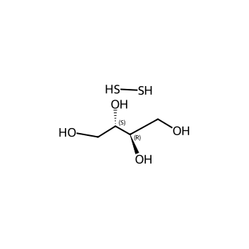 OC[C@@H](O)[C@@H](O)CO.SS